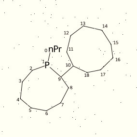 CCCP1CCCCCCCC1C1CCCCCCCC1